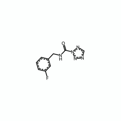 O=C(NCc1cccc(F)c1)n1ncnn1